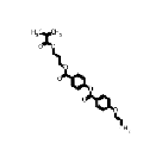 C=CCOc1ccc(C(=O)Oc2ccc(C(=O)OCCCOC(=O)C(=C)C)cc2)cc1